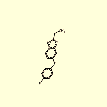 CCc1nc2ccc(Sc3ccc(F)cc3)cc2s1